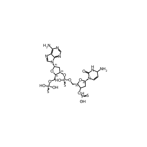 Nc1ncnc2c1ncn2[C@H]1C[C@@H](OP(O)(=S)OC[C@H]2O[C@@H](N3C=CC(N)NC3=O)CC2O[PH](O)=S)[C@@H](COP(O)(O)=S)O1